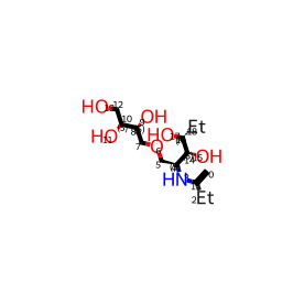 C=C(CC)N[C@@H](COC[C@H](O)[C@@H](O)CO)[C@H](O)[C@H](O)CC